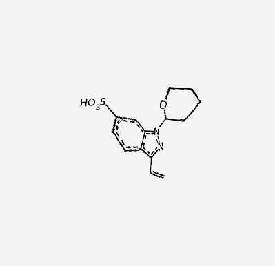 C=Cc1nn(C2CCCCO2)c2cc(S(=O)(=O)O)ccc12